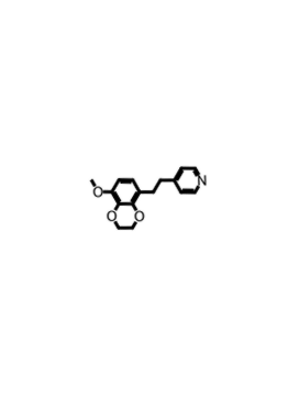 COc1ccc(CCc2ccncc2)c2c1OCCO2